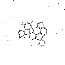 Cc1cc(C)nc(C2(c3cccnn3)CCCC=C2Cc2cccc3ccc4c5ccccc5ccc4c23)n1